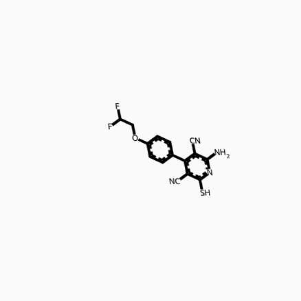 N#Cc1c(N)nc(S)c(C#N)c1-c1ccc(OCC(F)F)cc1